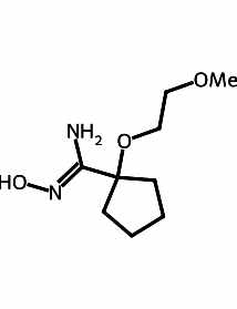 COCCOC1(C(N)=NO)CCCC1